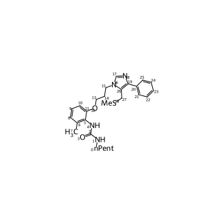 CCCCCNC(=O)Nc1c(C)cccc1OCCCn1cnc(-c2ccccc2)c1CSC